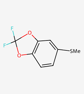 CSc1ccc2c(c1)OC(F)(F)O2